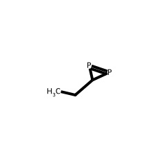 CCC1P=P1